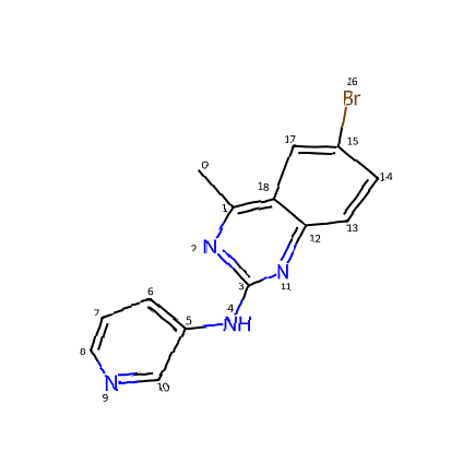 Cc1nc(Nc2cccnc2)nc2ccc(Br)cc12